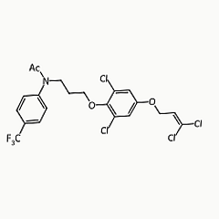 CC(=O)N(CCCOc1c(Cl)cc(OCC=C(Cl)Cl)cc1Cl)c1ccc(C(F)(F)F)cc1